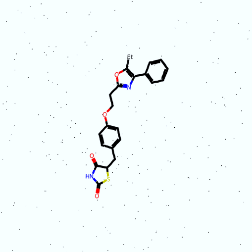 CCc1oc(CCOc2ccc(CC3SC(=O)NC3=O)cc2)nc1-c1ccccc1